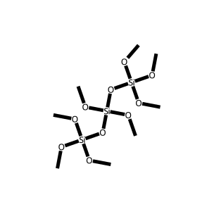 CO[Si](OC)(OC)O[Si](OC)(OC)O[Si](OC)(OC)OC